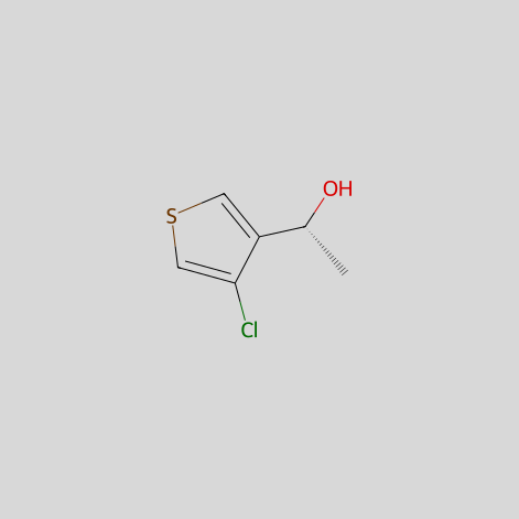 C[C@@H](O)c1cscc1Cl